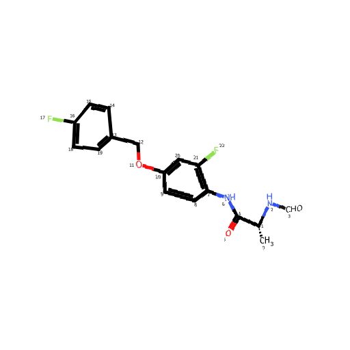 C[C@@H](NC=O)C(=O)Nc1ccc(OCc2ccc(F)cc2)cc1F